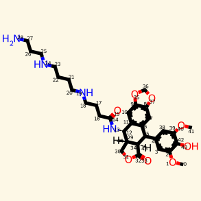 COc1cc(C2c3cc4c(cc3[C@@H](NC(=O)CCCNCCCCNCCCN)[C@H]3COC(=O)[C@H]23)OCO4)cc(OC)c1O